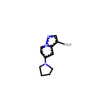 O=C(O)c1cnn2ccc(N3CCCC3)cc12